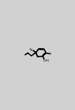 CCCC1(Br)C=CC(F)=C(O)C1